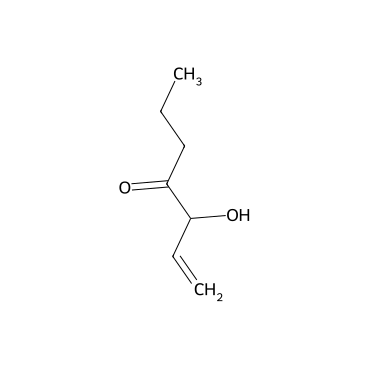 C=CC(O)C(=O)CCC